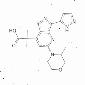 CC1COCCN1c1cc(C(C)(C)C(=O)O)c2snc(-c3ccn[nH]3)c2n1